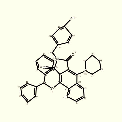 O=C1c2c(c(OC(c3ccccc3)c3ccccc3)c3ncccc3c2N2CCCCC2)C(=O)N1Cc1ccc(F)cc1